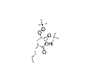 CCCCC(CC(OOC(C)(C)C)OOC(C)(C)C)C(=O)O